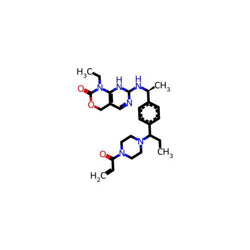 C=CC(=O)N1CCN(C(CC)c2ccc([C@H](C)NC3N=CC4=C(N3)N(CC)C(=O)OC4)cc2)CC1